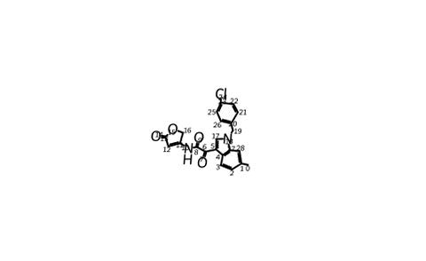 Cc1ccc2c(C(=O)C(=O)NC3=CC(=O)OC3)cn(Cc3ccc(Cl)cc3)c2c1